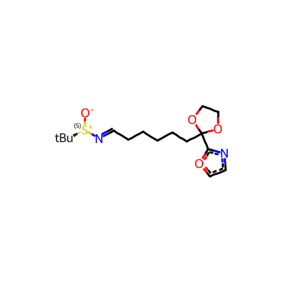 CC(C)(C)[S@@+]([O-])N=CCCCCCC1(c2ncco2)OCCO1